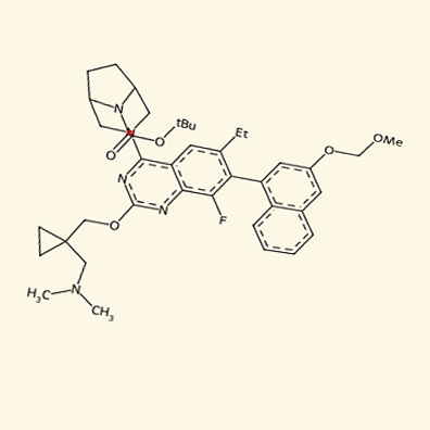 CCc1cc2c(N3CC4CCC(C3)N4C(=O)OC(C)(C)C)nc(OCC3(CN(C)C)CC3)nc2c(F)c1-c1cc(OCOC)cc2ccccc12